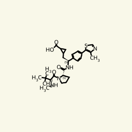 CN[C@H](C(=O)N1CCC[C@H]1C(=O)N[C@@H](CC1CC1C(=O)O)c1ccc(-c2scnc2C)cc1)C(C)(C)C